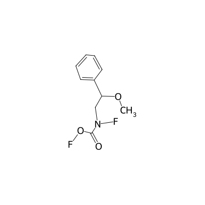 COC(CN(F)C(=O)OF)c1ccccc1